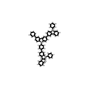 c1ccc(-c2ccc3c(c2)c2cc(-c4ccc5c(c4)c4ccccc4n5-c4ccccc4)ccc2n3-c2ccc(-c3ccc4c5c6ccccc6oc5n(-c5ccccc5)c4c3)cc2)cc1